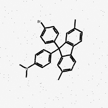 Cc1ccc2c(c1)C(c1ccc(Br)cc1)(c1ccc(N(C)C)cc1)c1cc(C)ccc1-2